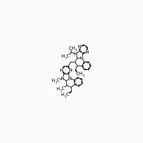 C=CC1c2ccccc2N2c3nc(CC4C(C=C)c5ccccc5N5c6nccnc6N(C(C)C)C45)cnc3N(C)C2C1C